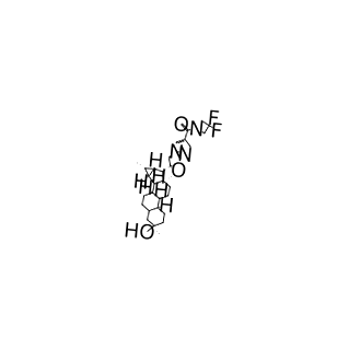 C[C@H]1[C@@H]2[C@H]1[C@H](C(=O)Cn1cc(C(=O)N3CC(F)(F)C3)cn1)[C@@]1(C)CC[C@H]3[C@@H](CCC4C[C@](C)(O)CC[C@@H]43)[C@H]21